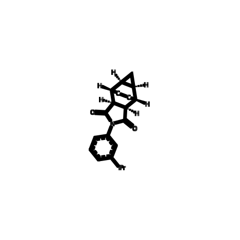 CC(C)c1cccc(N2C(=O)[C@@H]3[C@@H]4CC[C@@H]([C@H]5C[C@H]54)[C@@H]3C2=O)c1